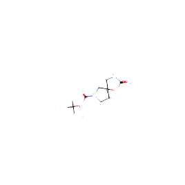 CCCCC(C)(C)OC(=O)N1CCC2(CNC(=O)O2)C1